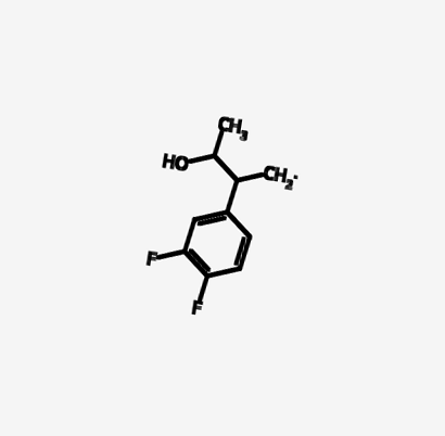 [CH2]C(c1ccc(F)c(F)c1)C(C)O